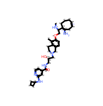 CNC(COc1ccc2c(c1C)CCN(C[C@@H](O)CNC(=O)c1ccnc(NC3CCC3)c1)C2)/C1=C(\N)C/C=C\CCC1